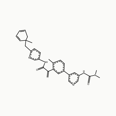 C=C(C(=O)Nc1ccc(CC2(C)C=CC=CC2)nc1)c1cc(-c2cncc(NC(=O)N(C)C)c2)ccc1C